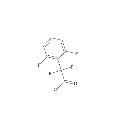 O=C(Cl)C(F)(F)c1c(F)cccc1F